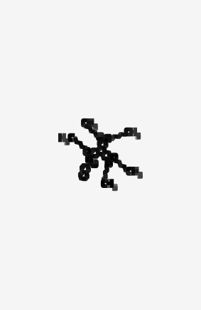 CCCCCCOc1cc2c3cc(OCCCCCC)c(OCCCCCC)cc3c3cc(OC(=O)c4ccc5ccccc5c4)c(OCCCCCC)cc3c2cc1OCCCCCC